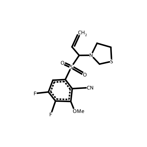 C=CC(N1CCSC1)S(=O)(=O)c1cc(F)c(F)c(OC)c1C#N